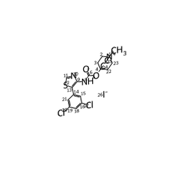 C[N+]12CCC(OC(=O)Nc3ncsc3-c3cc(Cl)cc(Cl)c3)(CC1)CC2.[I-]